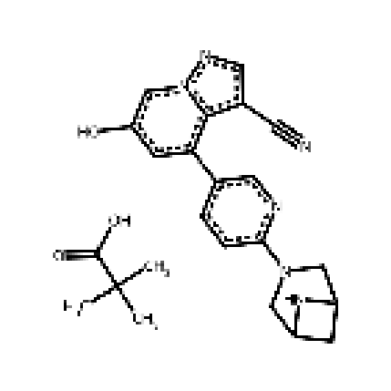 CC(C)(C)C(=O)O.N#Cc1cnn2cc(O)cc(-c3ccc(N4CC5CC(C4)N5)nc3)c12